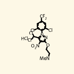 CNCCOc1nn(-c2c(Cl)cc(C(F)(F)F)cc2Cl)c(C(Cl)Cl)c1[N+](=O)[O-].Cl